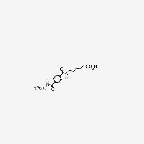 CCCCCNC(=O)c1ccc(C(=O)NCCCCCC(=O)O)cc1